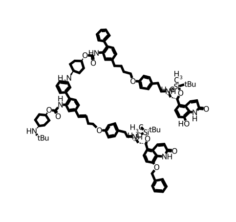 CC(C)(C)N[C@H]1CC[C@H](OC(=O)Nc2cc(C=CCCOc3ccc(CCNC[C@H](O[Si](C)(C)C(C)(C)C)c4ccc(OCc5ccccc5)c5[nH]c(=O)ccc45)cc3)ccc2-c2ccccc2)CC1.CC(C)(C)[Si](C)(C)O[C@@H](CNCCc1ccc(OCCCCc2ccc(-c3ccccc3)c(NC(=O)O[C@H]3CC[C@H](N)CC3)c2)cc1)c1ccc(O)c2[nH]c(=O)ccc12